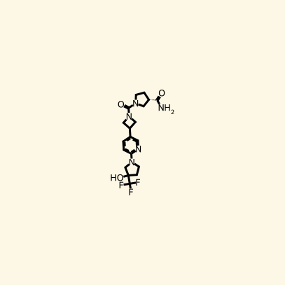 NC(=O)[C@H]1CCN(C(=O)N2CC(c3ccc(N4CCC(O)(C(F)(F)F)C4)nc3)C2)C1